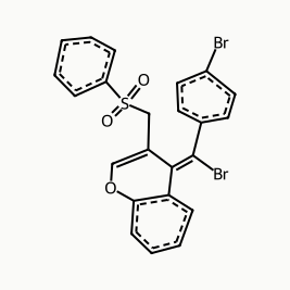 O=S(=O)(CC1=COc2ccccc2/C1=C(\Br)c1ccc(Br)cc1)c1ccccc1